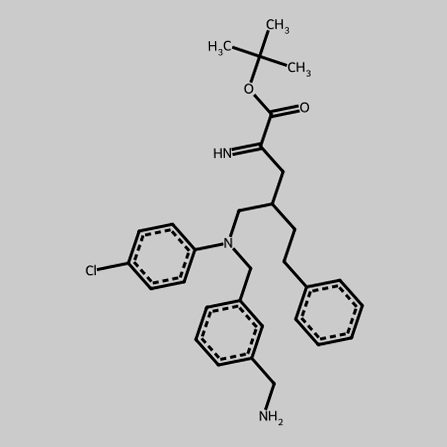 CC(C)(C)OC(=O)C(=N)CC(CCc1ccccc1)CN(Cc1cccc(CN)c1)c1ccc(Cl)cc1